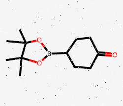 CC1(C)OB(C2CCC(=O)CC2)OC1(C)C